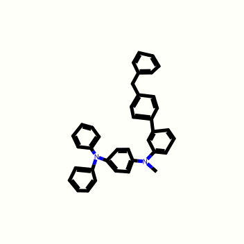 CN(c1ccc(N(c2ccccc2)c2ccccc2)cc1)c1cccc(-c2ccc(Cc3ccccc3)cc2)c1